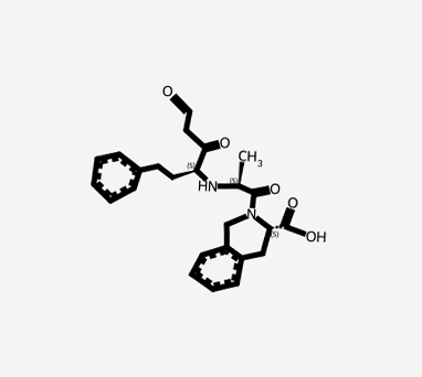 C[C@H](N[C@@H](CCc1ccccc1)C(=O)CC=O)C(=O)N1Cc2ccccc2C[C@H]1C(=O)O